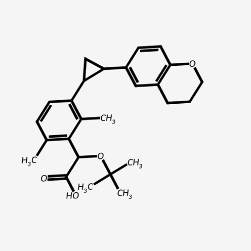 Cc1ccc(C2CC2c2ccc3c(c2)CCCO3)c(C)c1C(OC(C)(C)C)C(=O)O